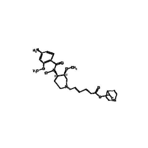 COc1cc(N)ccc1C(=O)N(Cl)[C@@H]1CCN(CCCCCC(=O)OC2CN3CCC2CC3)C[C@@H]1OC